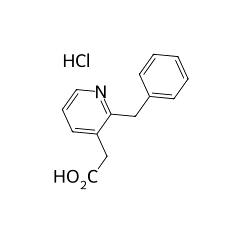 Cl.O=C(O)Cc1cccnc1Cc1ccccc1